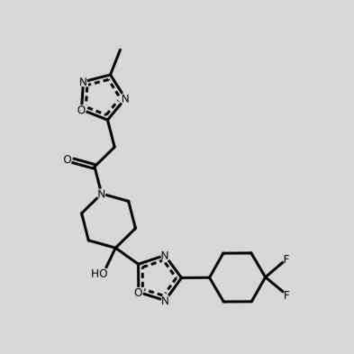 Cc1noc(CC(=O)N2CCC(O)(c3nc(C4CCC(F)(F)CC4)no3)CC2)n1